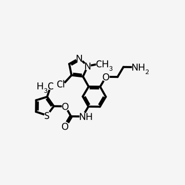 Cc1ccsc1OC(=O)Nc1ccc(OCCN)c(-c2c(Cl)cnn2C)c1